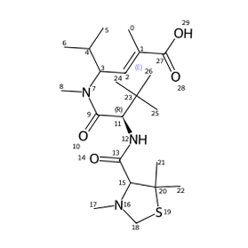 C/C(=C\C(C(C)C)N(C)C(=O)[C@H](NC(=O)C1N(C)CSC1(C)C)C(C)(C)C)C(=O)O